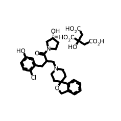 O=C(C(Cc1cc(O)ccc1Cl)CN1CCC2(CC1)OCc1ccccc12)N1CC[C@@H](O)C1.O=C(O)CC(O)(CC(=O)O)C(=O)O